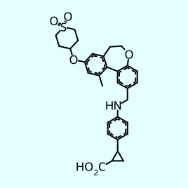 Cc1cc(OC2CCS(=O)(=O)CC2)cc2c1-c1cc(CNc3ccc(C4CC4C(=O)O)cc3)ccc1OCC2